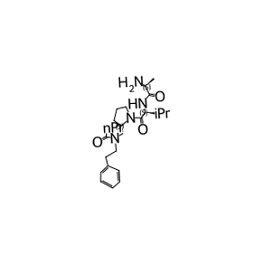 CCCC(=O)N(CCc1ccccc1)C[C@@H]1CCCN1C(=O)[C@@H](NC(=O)[C@H](C)N)C(C)C